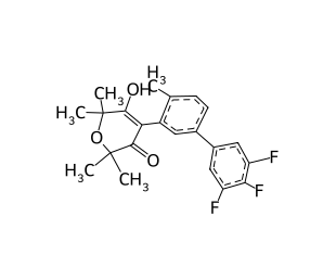 Cc1ccc(-c2cc(F)c(F)c(F)c2)cc1C1=C(O)C(C)(C)OC(C)(C)C1=O